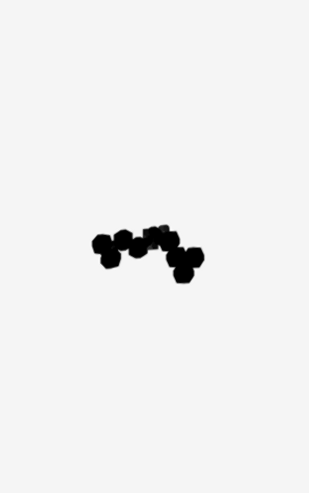 c1cc(-c2cccc(-n3c4ccccc4c4ccccc43)c2)cc(-c2ncc3oc4ccc(-c5ccc6c7ccccc7c7ccccc7c6c5)cc4c3n2)c1